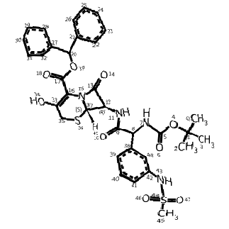 CC(C)(C)OC(=O)NC(C(=O)N[C@@H]1C(=O)N2C(C(=O)OC(c3ccccc3)c3ccccc3)=C(O)CS[C@@H]12)c1cccc(NS(C)(=O)=O)c1